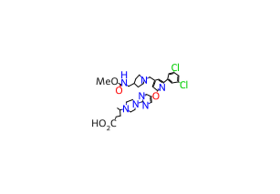 COC(=O)NCC1CCN(Cc2cc(Oc3cnc(N4CCN(C(C)CCC(=O)O)CC4)nc3)nc(-c3cc(Cl)cc(Cl)c3)c2)CC1